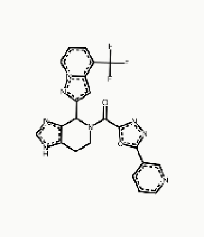 O=C(c1nnc(-c2cccnc2)o1)N1CCc2[nH]cnc2C1c1cc2c(C(F)(F)F)cccn2n1